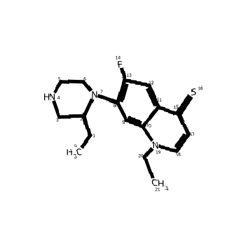 CCC1CNCCN1c1cc2c(cc1F)c(=S)ccn2CC